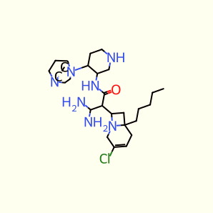 CCCCCC12CC=C(Cl)CN1C(C(C(=O)NC1CNCCC1N1CCN3CCC1CC3)C(N)N)C2